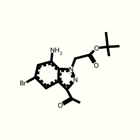 CC(=O)c1nn(CC(=O)OC(C)(C)C)c2c(N)cc(Br)cc12